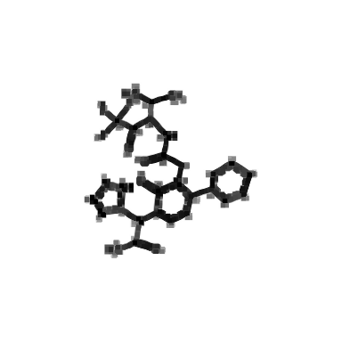 CC(=O)N(c1nnn[nH]1)c1ccc(-c2ccccc2)n(CC(=O)NC(C(=O)C(F)(F)F)C(C)C)c1=O